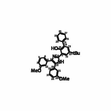 COc1cccc(-c2nc(-c3cc(C(C)(C)C)cc(-c4ccccc4)c3O)[nH]c2-c2cccc(OC)c2)c1